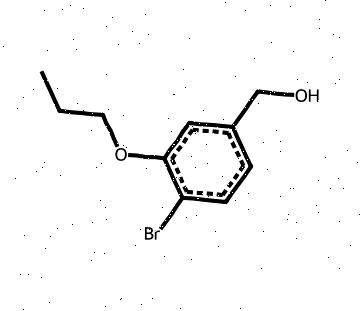 CCCOc1cc(CO)ccc1Br